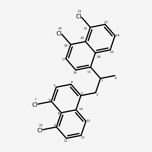 CC(Cc1ccc(Cl)c2c(Cl)cccc12)c1ccc(Cl)c2c(Cl)cccc12